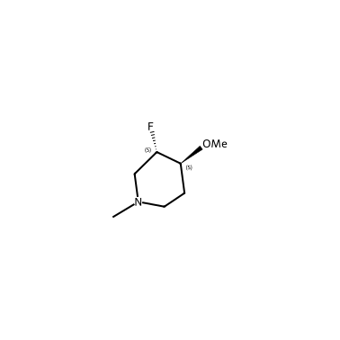 CO[C@H]1CCN(C)C[C@@H]1F